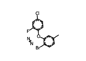 Cc1ccc(Br)c(Oc2ccc(Cl)cc2F)c1.N#N